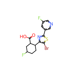 O=C(O)C1CC(F)CCC1c1nc(-c2cncc(F)c2)sc1Br